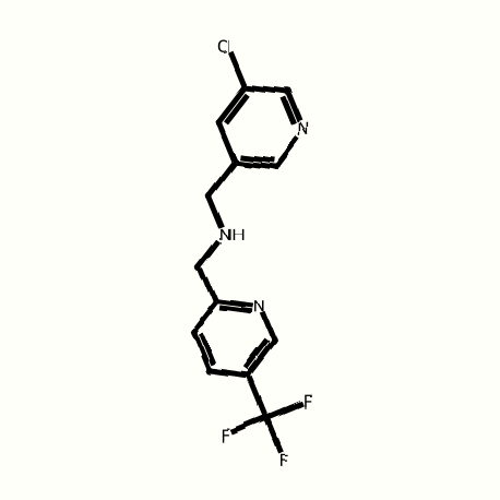 FC(F)(F)c1ccc(CNCc2cncc(Cl)c2)nc1